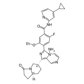 CCOc1cc(C(=O)Nc2cc(C3CC3)ccn2)c(F)cc1C1=NC([C@@H]2CC[C@H]3CCC(=O)N3C2)=C2C=NC=C[N+]12N